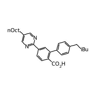 CCCCCCCCc1cnc(-c2ccc(C(=O)O)c(-c3ccc(CC(C)CC)cc3)c2)nc1